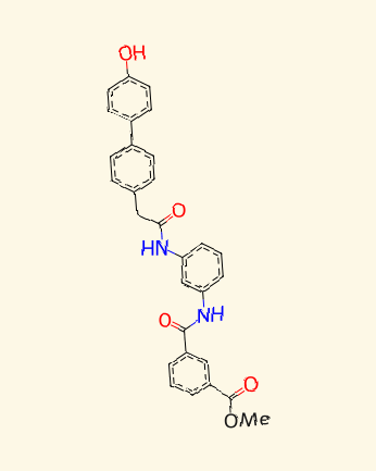 COC(=O)c1cccc(C(=O)Nc2cccc(NC(=O)Cc3ccc(-c4ccc(O)cc4)cc3)c2)c1